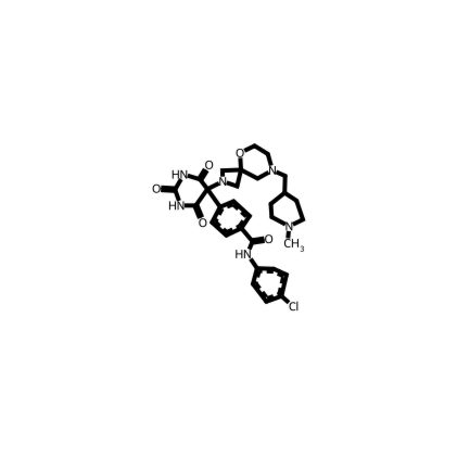 CN1CCC(CN2CCOC3(C2)CN(C2(c4ccc(C(=O)Nc5ccc(Cl)cc5)cc4)C(=O)NC(=O)NC2=O)C3)CC1